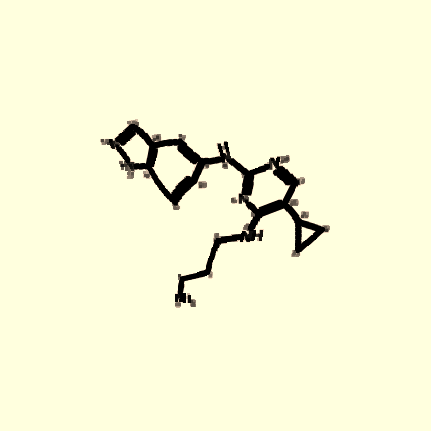 NCCCNc1nc(Nc2ccc3[nH]ncc3c2)ncc1C1CC1